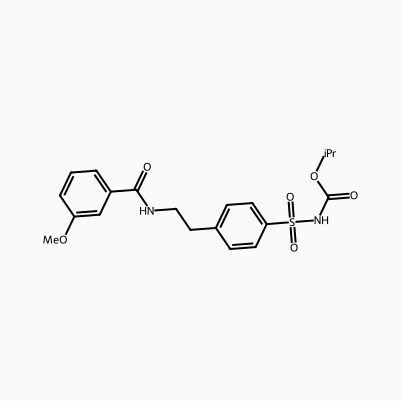 COc1cccc(C(=O)NCCc2ccc(S(=O)(=O)NC(=O)OC(C)C)cc2)c1